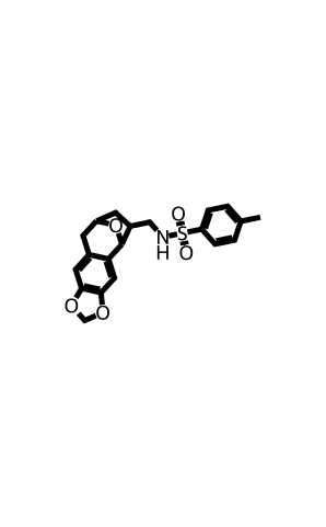 Cc1ccc(S(=O)(=O)NCC2CC3Cc4cc5c(cc4C2O3)OCO5)cc1